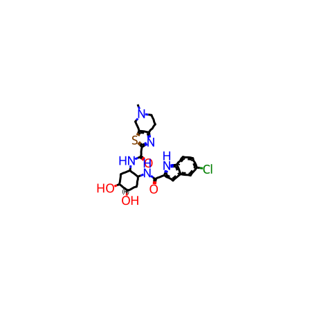 CN1CCc2nc(C(=O)NC3CC(O)[C@H](O)CC3NC(=O)c3cc4cc(Cl)ccc4[nH]3)sc2C1